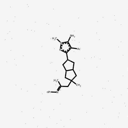 CCC/N=C(\C)CC1(C)CC2CC(c3nn(C)c(N)c3C(C)=O)CC2C1